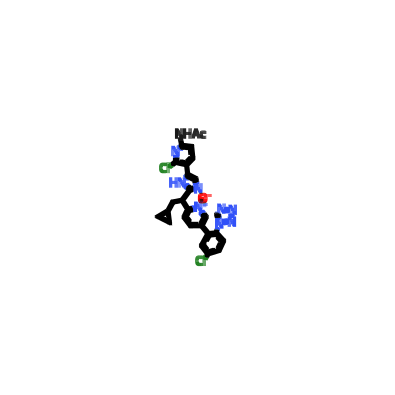 CC(=O)Nc1ccc(-c2cnc(C(CC3CC3)c3ccc(-c4cc(Cl)ccc4-n4cnnn4)c[n+]3[O-])[nH]2)c(Cl)n1